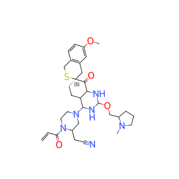 C=CC(=O)N1CCN(C2NC(OCC3CCCN3C)NC3C(=O)[C@]4(CCC32)Cc2cc(OC)ccc2CS4)CC1CC#N